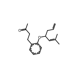 C=CCC(C=C(C)C)Oc1ccccc1CCC(C)=O